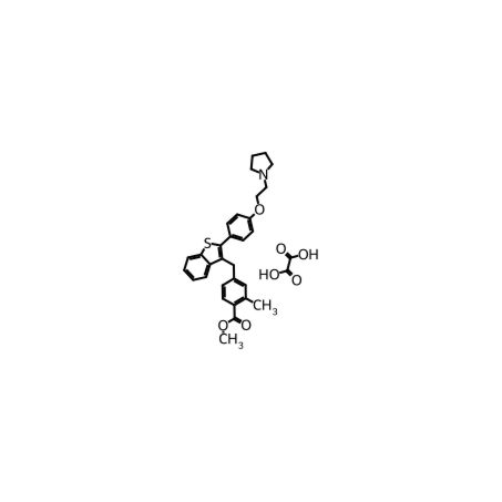 COC(=O)c1ccc(Cc2c(-c3ccc(OCCN4CCCC4)cc3)sc3ccccc23)cc1C.O=C(O)C(=O)O